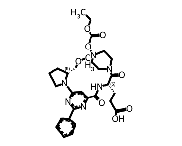 CCOC(=O)ON1CCN(C(=O)[C@H](CCC(=O)O)NC(=O)c2cc(N3CCC[C@@H]3COC)nc(-c3ccccc3)n2)CC1